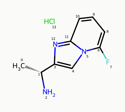 C[C@@H](N)c1cn2c(F)cccc2n1.Cl